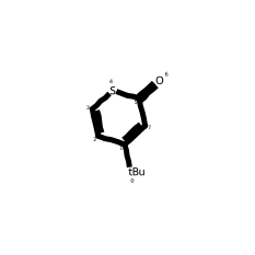 CC(C)(C)c1ccsc(=O)c1